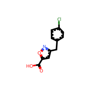 O=C(O)c1cc(Cc2ccc(Cl)cc2)no1